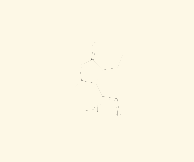 CCC1C(=O)OC(C)C1c1cncn1C